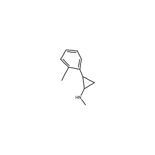 CNC1CC1c1ccccc1C